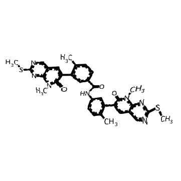 CSc1ncc2cc(-c3cc(NC(=O)c4ccc(C)c(-c5cc6cnc(SC)nc6n(C)c5=O)c4)ccc3C)c(=O)n(C)c2n1